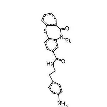 CCN1C(=O)c2ccccc2Sc2ccc(C(=O)NCCc3ccc(N)cc3)cc21